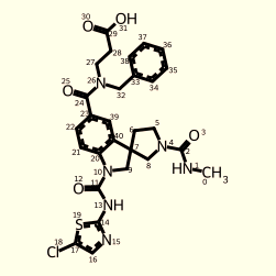 CNC(=O)N1CCC2(C1)CN(C(=O)Nc1ncc(Cl)s1)c1ccc(C(=O)N(CCC(=O)O)Cc3ccccc3)cc12